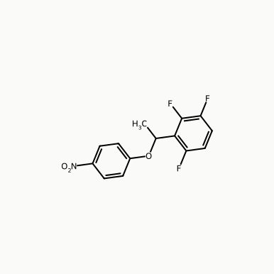 CC(Oc1ccc([N+](=O)[O-])cc1)c1c(F)ccc(F)c1F